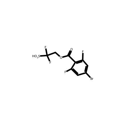 O=C(OCC(F)(F)S(=O)(=O)O)c1c(F)cc(Br)cc1F